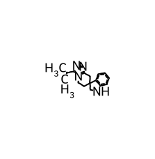 CC(C)c1nnc2n1CCC1(CNc3ccccc31)C2